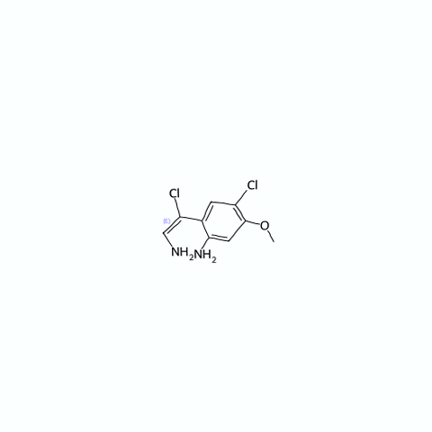 COc1cc(N)c(/C(Cl)=C\N)cc1Cl